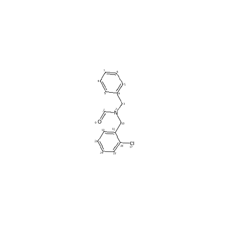 O=[C]N(Cc1ccccc1)Cc1ccccc1Cl